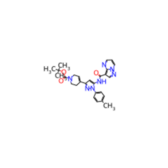 Cc1ccc(-n2nc(C3=CCN(C(=O)OC(C)(C)C)CC3)cc2NC(=O)c2cnn3cccnc23)cc1